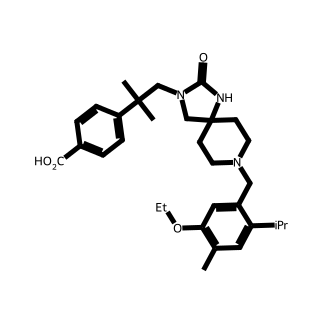 CCOc1cc(CN2CCC3(CC2)CN(CC(C)(C)c2ccc(C(=O)O)cc2)C(=O)N3)c(C(C)C)cc1C